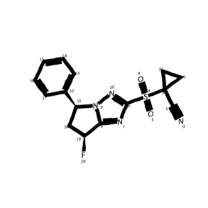 N#CC1(S(=O)(=O)c2nc3n(n2)[C@H](c2ccccc2)C[C@@H]3F)CC1